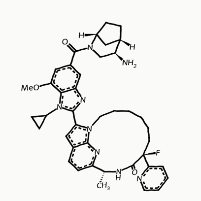 COc1cc(C(=O)N2C[C@H](N)[C@H]3CC[C@@H]2C3)cc2nc(-c3cc4ccc5nc4n3CCCCCC[C@](F)(c3ccccn3)C(=O)N[C@@H]5C)n(C3CC3)c12